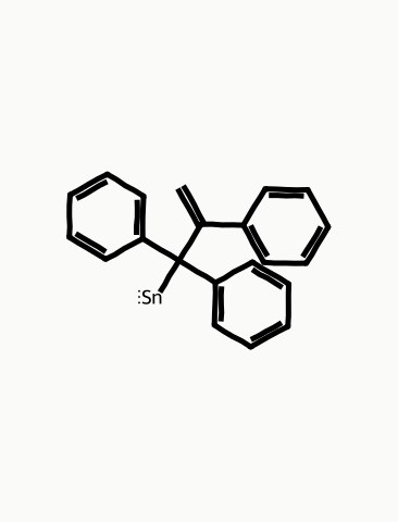 C=C(c1ccccc1)[C]([Sn])(c1ccccc1)c1ccccc1